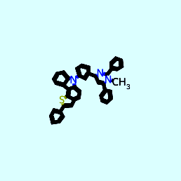 CN1C(c2ccccc2)=CC(c2cccc(-n3c4ccccc4c4c5sc(-c6ccccc6)cc5ccc43)c2)=NC1c1ccccc1